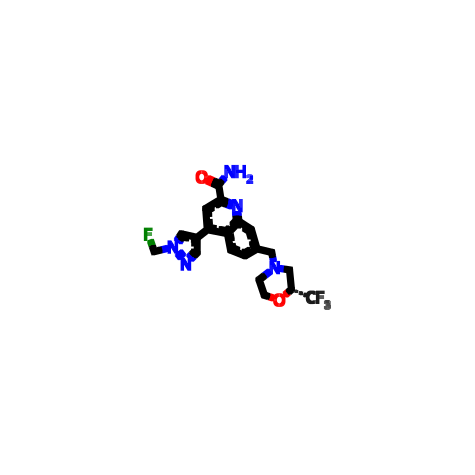 NC(=O)c1cc(-c2cnn(CF)c2)c2ccc(CN3CCO[C@@H](C(F)(F)F)C3)cc2n1